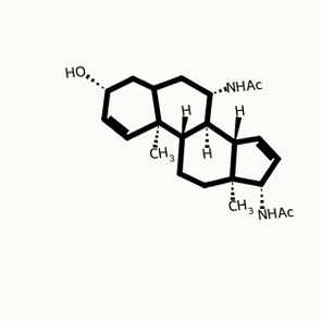 CC(=O)N[C@H]1CC2C[C@@H](O)C=C[C@]2(C)[C@H]2CC[C@]3(C)[C@@H](NC(C)=O)C=C[C@H]3[C@H]12